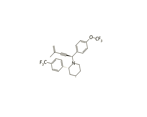 C=C(C)C#C[C@@H](c1ccc(OC(F)(F)F)cc1)N1CC[CH]C[C@@H]1c1ccc(C(F)(F)F)cc1